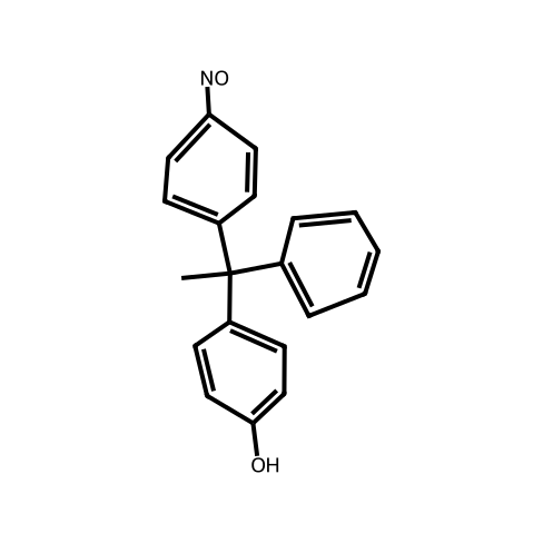 CC(c1ccccc1)(c1ccc(O)cc1)c1ccc(N=O)cc1